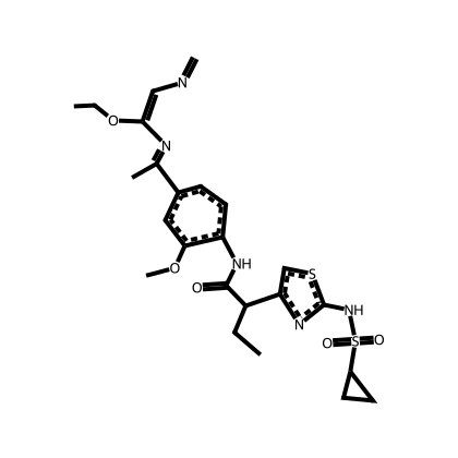 C=N/C=C(\N=C(/C)c1ccc(NC(=O)C(CC)c2csc(NS(=O)(=O)C3CC3)n2)c(OC)c1)OCC